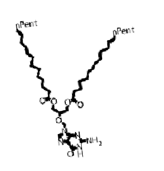 CCCCCC=CCC=CCCCCCCCC(=O)OCC(COC(=O)CCCCCCCC=CCC=CCCCCC)OCn1cnc2c(=O)[nH]c(N)nc21